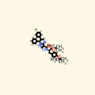 CC(C)(C)OC(=O)C(Cc1ccc(OC(C)(C)C)cc1)NC(=O)c1cnn2c(-c3ccccc3)c(-c3ccc(F)cc3)cnc12